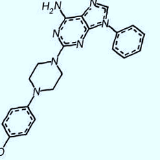 Nc1nc(N2CCN(c3ccc(O)cc3)CC2)nc2c1ncn2-c1ccccc1